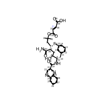 CC(C)(CC[C@H](C[C@H](O)[C@H](Cc1cccc(F)c1)NC(=O)c1cnc2ccccc2n1)C(N)=O)OC(=O)/C=C/C(=O)O